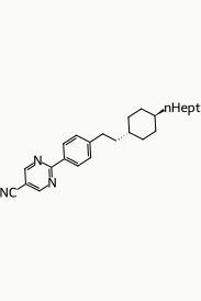 CCCCCCC[C@H]1CC[C@H](CCc2ccc(-c3ncc(C#N)cn3)cc2)CC1